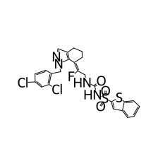 O=C(NCC(F)=C1CCCc2cnn(Cc3ccc(Cl)cc3Cl)c21)NS(=O)(=O)c1cc2ccccc2s1